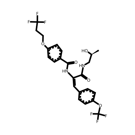 C[C@H](O)CNC(=O)/C(=C\c1ccc(OC(F)(F)F)cc1)NC(=O)c1ccc(OCCC(F)(F)F)cc1